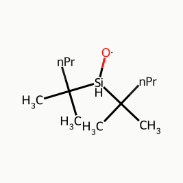 CCCC(C)(C)[SiH]([O])C(C)(C)CCC